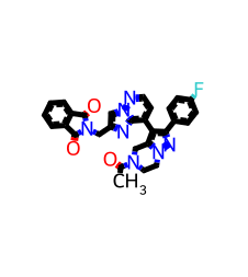 CC(=O)N1CCn2nc(-c3ccc(F)cc3)c(-c3ccnn4cc(CN5C(=O)c6ccccc6C5=O)nc34)c2C1